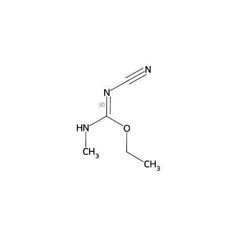 CCO/C(=N\C#N)NC